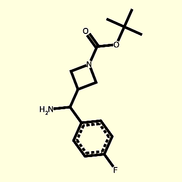 CC(C)(C)OC(=O)N1CC(C(N)c2ccc(F)cc2)C1